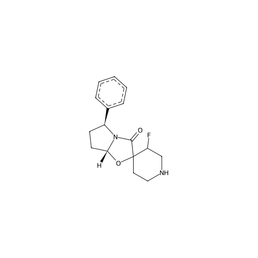 O=C1N2[C@@H](CC[C@H]2c2ccccc2)OC12CCNCC2F